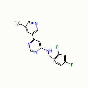 Fc1ccc(CNc2cc(-c3cncc(C(F)(F)F)c3)ncn2)c(F)c1